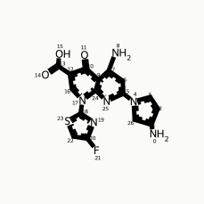 Nc1ccn(-c2cc(N)c3c(=O)c(C(=O)O)cn(-c4nc(F)cs4)c3n2)c1